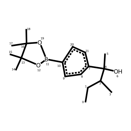 CCC(C)C(C)(O)c1ccc(B2OC(C)(C)C(C)(C)O2)cc1